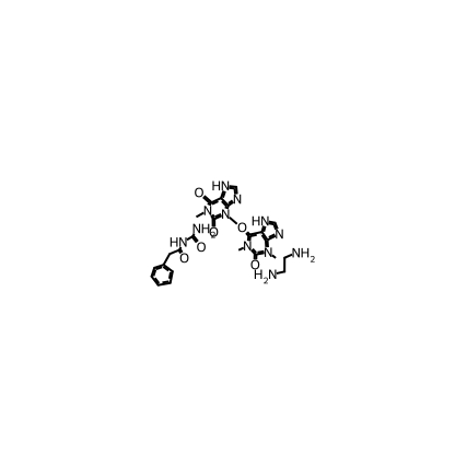 Cn1c(=O)c2[nH]cnc2n(C)c1=O.Cn1c(=O)c2[nH]cnc2n(C)c1=O.NC(=O)NC(=O)Cc1ccccc1.NCCN